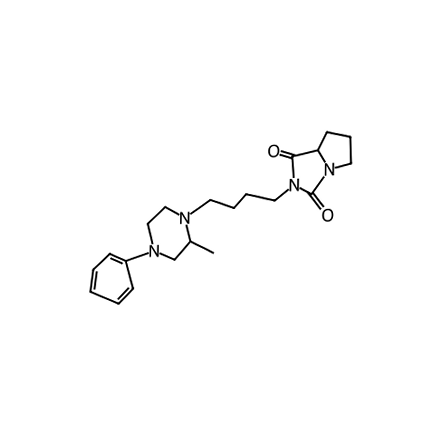 CC1CN(c2ccccc2)CCN1CCCCN1C(=O)C2CCCN2C1=O